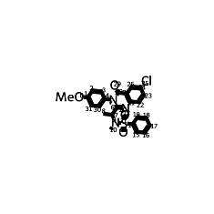 COc1ccc(-n2c(C(C)N(C)S(=O)(=O)c3ccccc3)nc3ccc(Cl)cc3c2=O)cc1